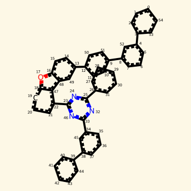 c1ccc(-c2cccc(-c3ccc(-c4ccc5oc6cccc(-c7nc(-c8ccccc8)nc(-c8cccc(-c9ccccc9)c8)n7)c6c5c4)cc3)c2)cc1